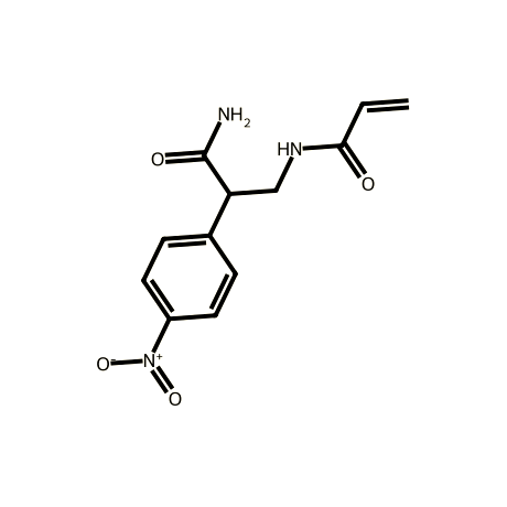 C=CC(=O)NCC(C(N)=O)c1ccc([N+](=O)[O-])cc1